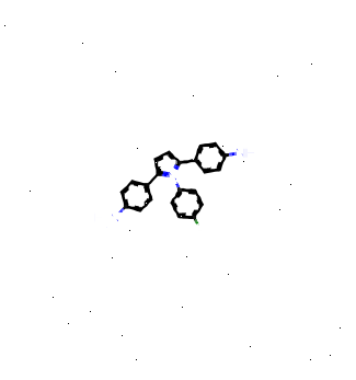 Nc1ccc(-c2ccc(-c3ccc(N)cc3)n2-c2ccc(F)cc2)cc1